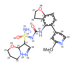 COc1cc(-c2ccc3c(c2NC(=O)N=S(N)(=O)C2C=NN4CCCOC24)CCO3)ccn1